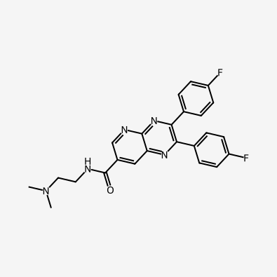 CN(C)CCNC(=O)c1cnc2nc(-c3ccc(F)cc3)c(-c3ccc(F)cc3)nc2c1